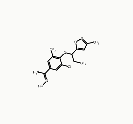 CCC(Oc1c(C)cc(C(N)=NO)cc1Cl)c1cc(C)no1